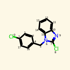 Clc1ccc(Cn2c(Cl)nc3ccccc32)cc1